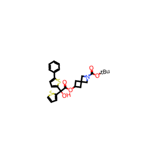 CC(C)(C)OC(=O)N1CC2(CC(OC(=O)[C@](O)(c3cccs3)c3ccc(-c4ccccc4)s3)C2)C1